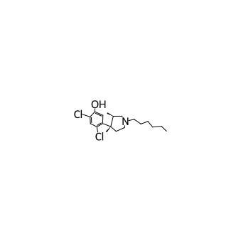 CCCCCCN1CC[C@](C)(c2cc(O)c(Cl)cc2Cl)[C@@H](C)C1